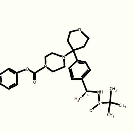 C[C@H](N[S+]([O-])C(C)(C)C)c1ccc(C2(N3CCN(C(=O)Oc4ccccc4)CC3)CCOCC2)cc1